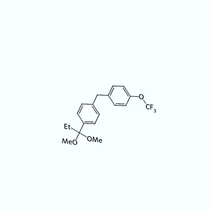 CCC(OC)(OC)c1ccc(Cc2ccc(OC(F)(F)F)cc2)cc1